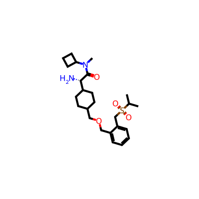 CC(C)S(=O)(=O)Cc1ccccc1COCC1CCC([C@H](N)C(=O)N(C)C2CCC2)CC1